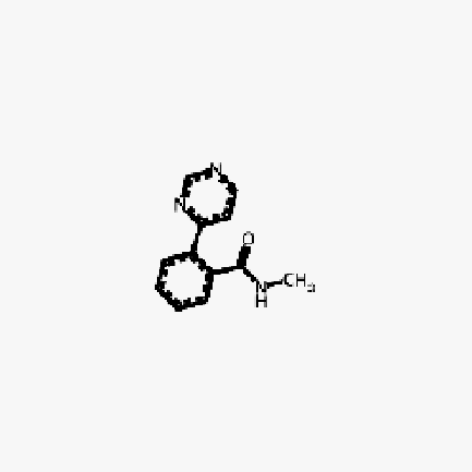 CNC(=O)c1ccccc1-c1ccncn1